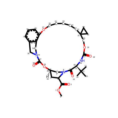 COC(=O)C1C[C@@H]2CN1C(=O)[C@H](C(C)(C)C)NC(=O)OCC1(CCCCCOc3cccc4c3CN(C4)C(=O)O2)CC1